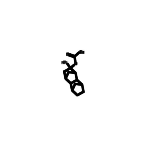 CCCC1(OC(=O)C(C)CC)CC2CC1C1C3CCC(C3)C21